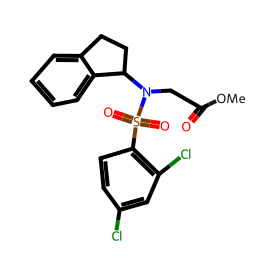 COC(=O)CN(C1CCc2ccccc21)S(=O)(=O)c1ccc(Cl)cc1Cl